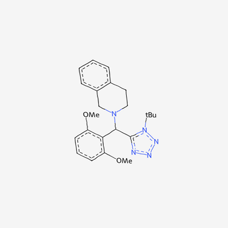 COc1cccc(OC)c1C(c1nnnn1C(C)(C)C)N1CCc2ccccc2C1